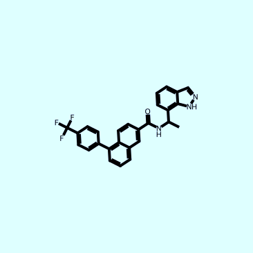 CC(NC(=O)c1ccc2c(-c3ccc(C(F)(F)F)cc3)cccc2c1)c1cccc2cn[nH]c12